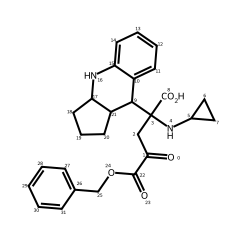 O=C(CC(NC1CC1)(C(=O)O)C1c2ccccc2NC2CCCC21)C(=O)OCc1ccccc1